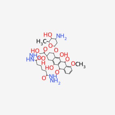 COc1cccc2c1C(=O)c1c(O)c3c(c(O)c1C2=O)C[C@@](O)(C(=O)CO)C[C@@H]3O[C@H]1C[C@H](N)[C@H](O)[C@H](C)O1.NNC(=O)CCCCC(=O)NN